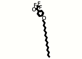 CCCCCCCCCCCCCCCCOc1ccc(C(=O)C(F)(F)F)cc1